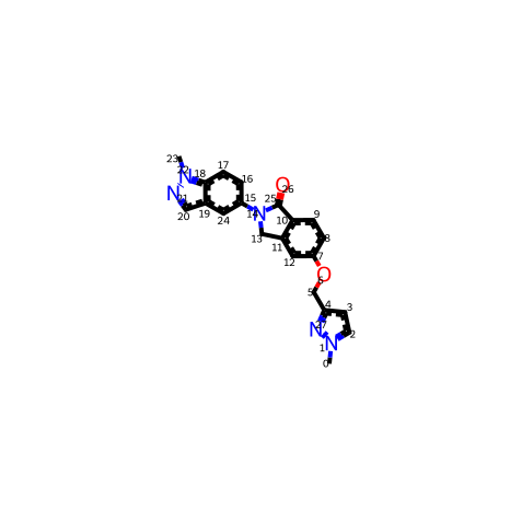 Cn1ccc(COc2ccc3c(c2)CN(c2ccc4c(cnn4C)c2)C3=O)n1